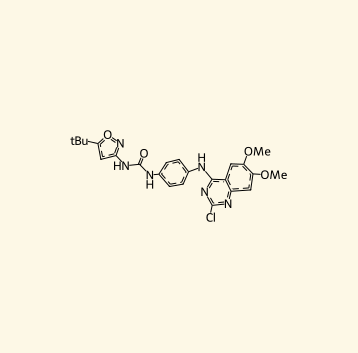 COc1cc2nc(Cl)nc(Nc3ccc(NC(=O)Nc4cc(C(C)(C)C)on4)cc3)c2cc1OC